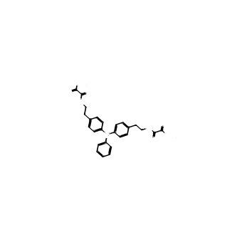 C=C(C)C(=O)OCCc1ccc(N(c2ccccc2)c2ccc(CCOC(=O)C(=C)C)cc2)cc1